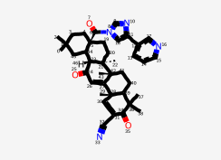 CC1(C)CC[C@]2(C(=O)n3cnc(-c4cccnc4)c3)CC[C@]3(C)[C@H](C(=O)C=C4[C@@]5(C)C=C(C#N)C(=O)C(C)(C)C5CC[C@]43C)C2C1